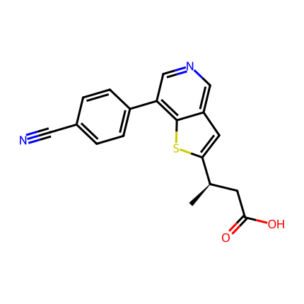 C[C@H](CC(=O)O)c1cc2cncc(-c3ccc(C#N)cc3)c2s1